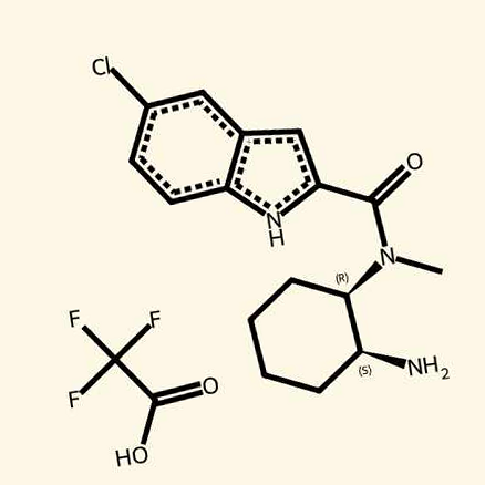 CN(C(=O)c1cc2cc(Cl)ccc2[nH]1)[C@@H]1CCCC[C@@H]1N.O=C(O)C(F)(F)F